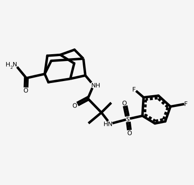 CC(C)(NS(=O)(=O)c1ccc(F)cc1F)C(=O)NC1C2CC3CC1CC(C(N)=O)(C3)C2